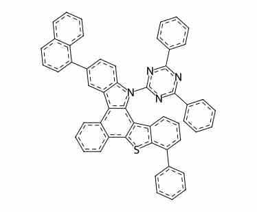 c1ccc(-c2nc(-c3ccccc3)nc(-n3c4ccc(-c5cccc6ccccc56)cc4c4c5ccccc5c5sc6c(-c7ccccc7)cccc6c5c43)n2)cc1